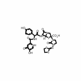 O=C(NC(C(=O)N[C@@H]1C(=O)N2C[C@@](C(=O)O)(N3CCN(N=C4SCCS4)C3=O)S[C@H]12)c1ccc(O)cc1)c1cc(=O)c(O)c[nH]1